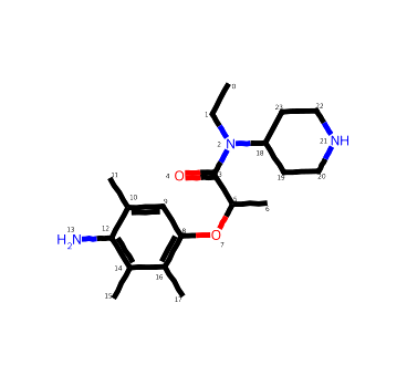 CCN(C(=O)C(C)Oc1cc(C)c(N)c(C)c1C)C1CCNCC1